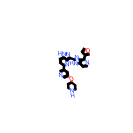 c1cc2[nH]c(-c3n[nH]c4ccc(-c5cncc(OC6CCNCC6)c5)nc34)nc2c(-c2ccoc2)n1